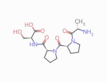 C[C@H](N)C(=O)N1CCC[C@H]1C(=O)N1CCC[C@H]1C(=O)N[C@@H](CO)C(=O)O